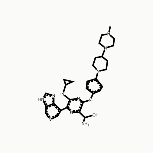 CN1CCN(C2CCN(c3ccc(Nc4nc(NC5CC5)c(-c5cncc6[nH]cnc56)nc4C(N)O)cc3)CC2)CC1